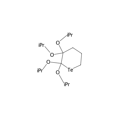 CC(C)OC1(OC(C)C)CCC[Te]C1(OC(C)C)OC(C)C